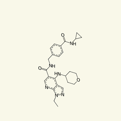 CCn1ncc2c(NC3CCOCC3)c(C(=O)NCc3ccc(C(=O)NC4CC4)cc3)cnc21